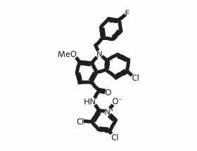 COc1ccc(C(=O)Nc2c(Cl)cc(Cl)c[n+]2[O-])c2c3cc(Cl)ccc3n(Cc3ccc(F)cc3)c12